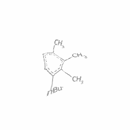 CCC[CH]c1ccc(C)c(C)c1C